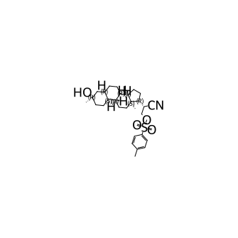 Cc1ccc(S(=O)(=O)OCC(C#N)[C@H]2CC[C@H]3[C@@H]4CC[C@@H]5C[C@](C)(O)CC[C@@H]5[C@H]4CC[C@]23C)cc1